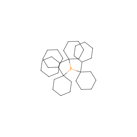 C1CCC(C2(P(C3(C4CCCCC4)CCCCC3)C3(C4CCCCC4)CCCCC3)CCCCC2)CC1